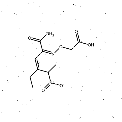 CCC(=CC(=NOCC(=O)O)C(N)=O)C(C)[N+](=O)[O-]